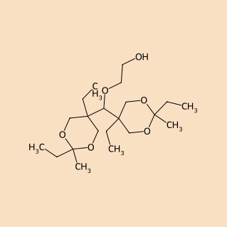 CCC1(C)OCC(CC)(C(OCCO)C2(CC)COC(C)(CC)OC2)CO1